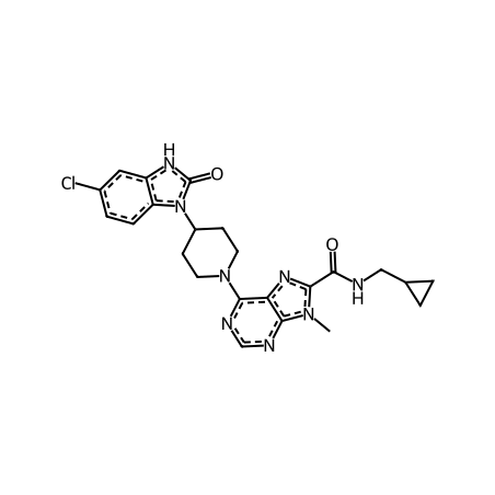 Cn1c(C(=O)NCC2CC2)nc2c(N3CCC(n4c(=O)[nH]c5cc(Cl)ccc54)CC3)ncnc21